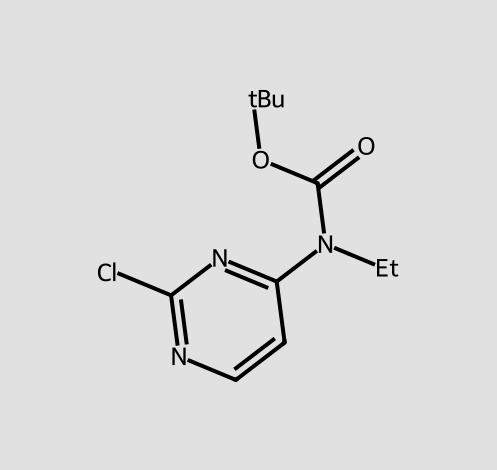 CCN(C(=O)OC(C)(C)C)c1ccnc(Cl)n1